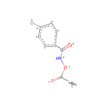 CCCCC(=O)ONC(=O)c1ccc(Cl)cc1